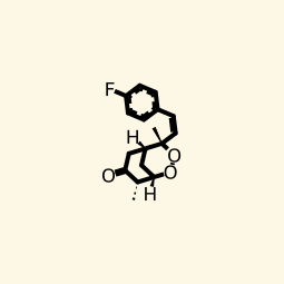 C[C@@H]1C(=O)C[C@H]2C[C@@H]1OO[C@@]2(C)/C=C\c1ccc(F)cc1